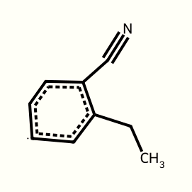 CCc1c[c]ccc1C#N